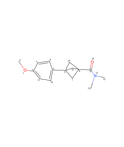 COc1ccc(C23CC(C(=O)N(C)C)(C2)C3)cc1